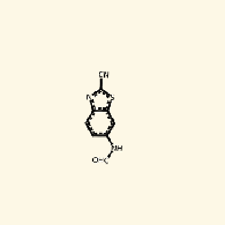 N#Cc1nc2ccc(NC=O)cc2s1